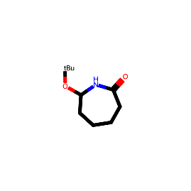 CC(C)(C)OC1CCCCC(=O)N1